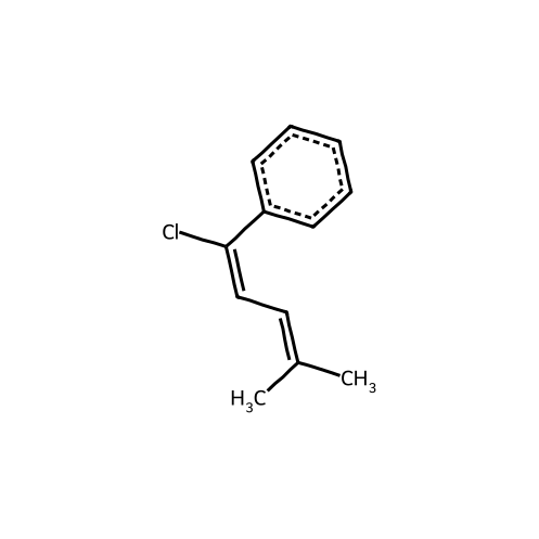 CC(C)=C/C=C(/Cl)c1ccccc1